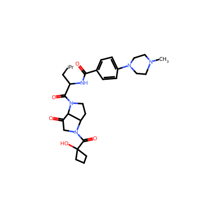 CC(C)CC(NC(=O)c1ccc(N2CCN(C)CC2)cc1)C(=O)N1CCC2C1C(=O)CN2C(=O)C1(O)CCC1